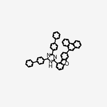 c1ccc(-c2ccc(C3=NC(c4ccc(-c5ccccc5)cc4)NC(c4cccc5oc6cc(-c7cc8ccccc8c8ccccc78)ccc6c45)=N3)cc2)cc1